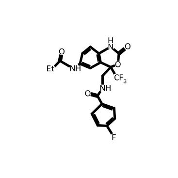 CCC(=O)Nc1ccc2c(c1)C(CNC(=O)c1ccc(F)cc1)(C(F)(F)F)OC(=O)N2